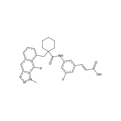 Cn1ncc2cc3cccc(CC4(C(=O)Nc5cc(F)cc(/C=C/C(=O)O)c5)CCCCC4)c3c(F)c21